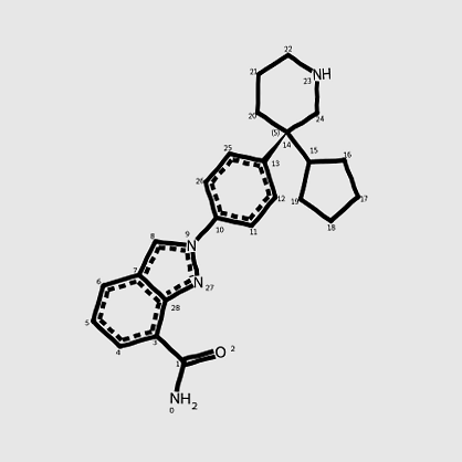 NC(=O)c1cccc2cn(-c3ccc([C@@]4(C5CCCC5)CCCNC4)cc3)nc12